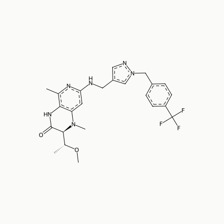 CO[C@H](C)[C@H]1C(=O)Nc2c(cc(NCc3cnn(Cc4ccc(C(F)(F)F)cc4)c3)nc2C)N1C